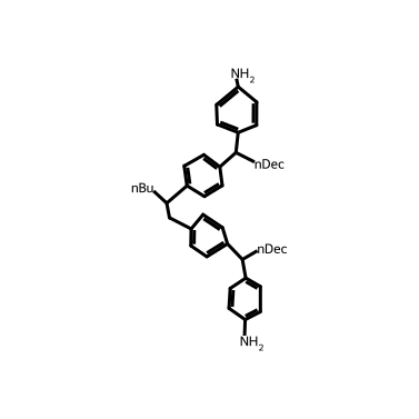 CCCCCCCCCCC(c1ccc(N)cc1)c1ccc(CC(CCCC)c2ccc(C(CCCCCCCCCC)c3ccc(N)cc3)cc2)cc1